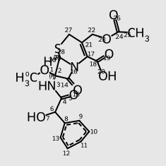 CO[C@]1(NC(=O)C(O)c2ccccc2)C(=O)N2C(C(=O)O)=C(COC(C)=O)CS[C@@H]21